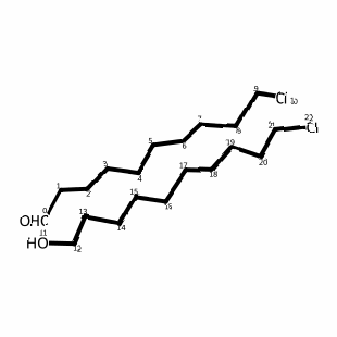 O=CCCCCCCCCCCl.OCCCCCCCCCCCl